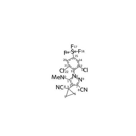 CNc1c(C2(C#N)CC2)c(C#N)nn1-c1c(Cl)cc(S(F)(F)F)cc1Cl